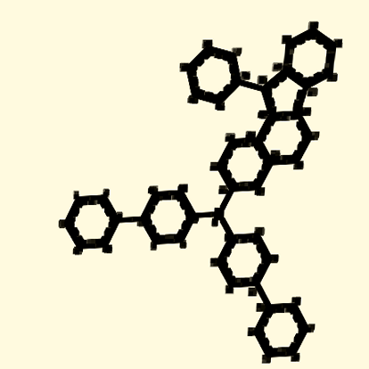 c1ccc(-c2ccc(N(c3ccc(-c4ccccc4)cc3)c3ccc4c(ccn5c6ccccc6c(-c6ccccc6)c45)c3)cc2)cc1